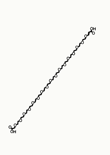 O=C(O)C=COCCOCCOCCOCCOCCOCCOCCOCCOCCOCCOCCOCCOCCOCCOCCOCCOCC(=O)O